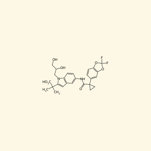 CC(C)(C(=O)O)c1cc2cc(NC(=O)C3(c4ccc5c(c4)OC(F)(F)O5)CC3)ccc2n1CC(O)CO